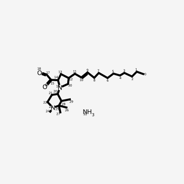 CCCCCCCCCC=CCC1CC(C(=O)C=O)N(C2CCN(C)C(C)(C)C2C)C1.N